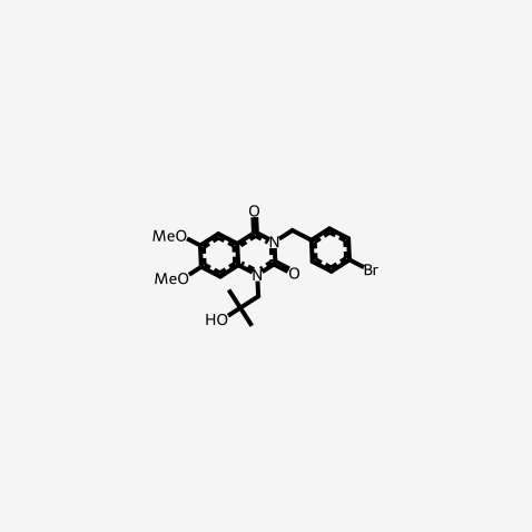 COc1cc2c(=O)n(Cc3ccc(Br)cc3)c(=O)n(CC(C)(C)O)c2cc1OC